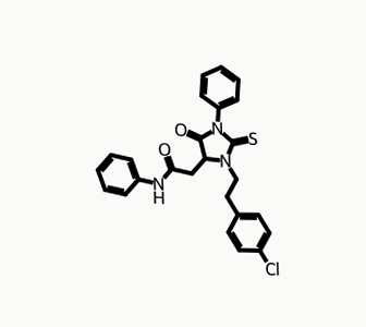 O=C(CC1C(=O)N(c2ccccc2)C(=S)N1CCc1ccc(Cl)cc1)Nc1ccccc1